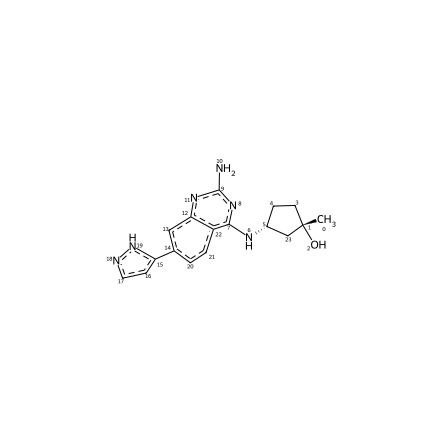 C[C@]1(O)CC[C@@H](Nc2nc(N)nc3cc(-c4ccn[nH]4)ccc23)C1